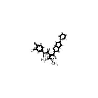 Cn1nc(C2CC3CC(N4CCCC4)CC3C2)c(C(=O)Nc2ccc(F)c(Cl)c2)c1N